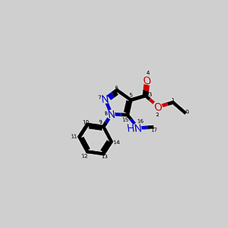 CCOC(=O)c1cnn(-c2ccccc2)c1NC